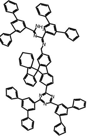 N/C(=N\C(=N/Cc1ccc2c(c1)C1(C3=C(C=CCC=C3)c3ccccc31)c1cc(-c3nc(-c4cc(-c5ccccc5)cc(-c5ccccc5)c4)nc(-c4cc(-c5ccccc5)cc(-c5ccccc5)c4)n3)ccc1-2)c1cc(-c2ccccc2)cc(-c2ccccc2)c1)c1cc(-c2ccccc2)cc(-c2ccccc2)c1